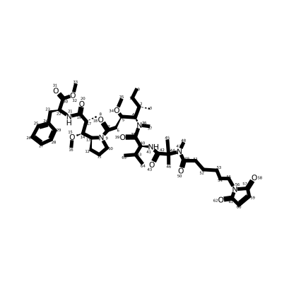 CC[C@H](C)[C@@H]([C@@H](CC(=O)N1CCC[C@H]1[C@H](OC)[C@@H](C)C(=O)N[C@@H](Cc1ccccc1)C(=O)OC)OC)N(C)C(=O)[C@@H](NC(=O)C(C)(C)N(C)C(=O)CCCCCN1C(=O)C=CC1=O)C(C)C